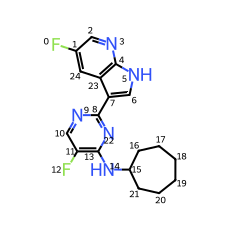 Fc1cnc2[nH]cc(-c3ncc(F)c(NC4CCCCCC4)n3)c2c1